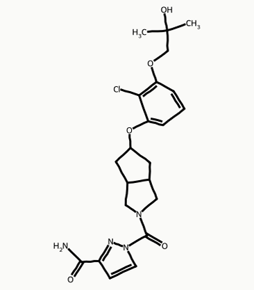 CC(C)(O)COc1cccc(OC2CC3CN(C(=O)n4ccc(C(N)=O)n4)CC3C2)c1Cl